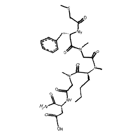 CCCC[C@@H](C(=O)N(C)CC(=O)N[C@@H](CC(=O)O)C(N)=O)N(C)C(=O)CN(C)C(=O)[C@H](Cc1ccccc1)NC(=O)CSC